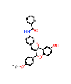 COc1ccc(C2Oc3ccc(O)cc3C(=O)C2=Cc2ccc(NC(=O)c3ccccc3)cc2)cc1